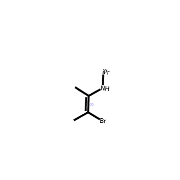 C/C(Br)=C(\C)NC(C)C